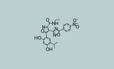 CCNC(=O)c1noc(-c2cc(C(C)C)c(O)cc2O)c1-c1noc(-c2ccc([N+](=O)[O-])cc2)n1